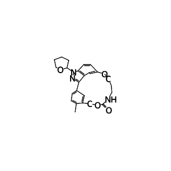 Cc1ccc2cc1COC(=O)NCCCOc1ccc3c(c1)c-2nn3C1CCCCO1